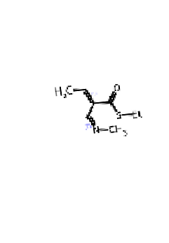 C/C=C(\C=N/C)C(=O)SCC